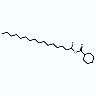 CCCCCCCCCCCCCCCC(Cl)OC(=O)C1CCCCC1